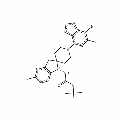 Cc1ccc2c(n1)CC1(CCN(c3nc(C)c(Br)n4nccc34)CC1)[C@@H]2NC(=O)OC(C)(C)C